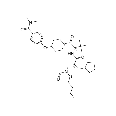 CCCCON(C=O)C[C@@H](CC1CCCC1)C(=O)N[C@H](C(=O)N1CCC(Oc2ccc(C(=O)N(C)C)cc2)CC1)C(C)(C)C